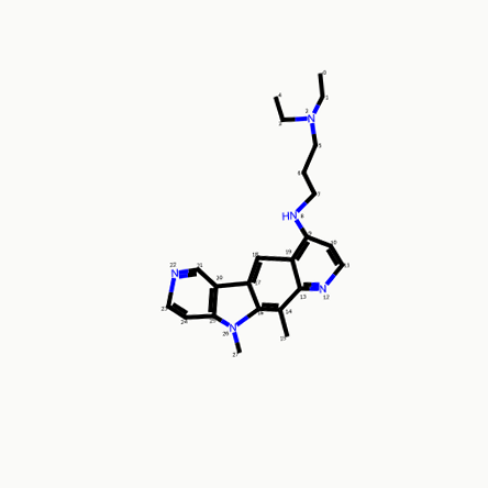 CCN(CC)CCCNc1ccnc2c(C)c3c(cc12)c1cnccc1n3C